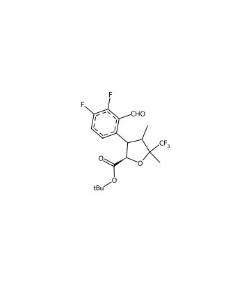 CC1C(c2ccc(F)c(F)c2C=O)[C@H](C(=O)OC(C)(C)C)OC1(C)C(F)(F)F